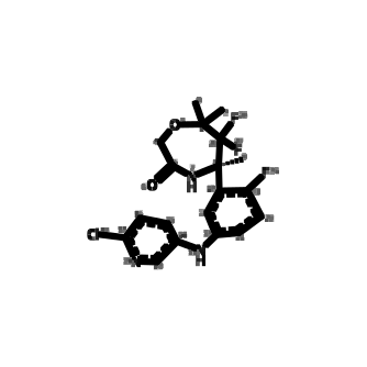 CC1(C)OCC(=O)N[C@](C)(c2cc(Nc3ccc(Cl)nc3)ccc2F)C1(F)F